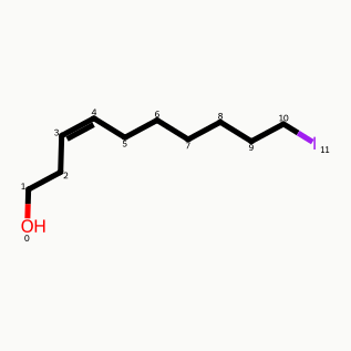 OCC/C=C\CCCCCCI